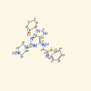 O=C1CCCCC1n1cnc2c(NCc3nc4ccccc4s3)nc(N3CCNCC3)nc21